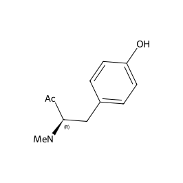 CN[C@H](Cc1ccc(O)cc1)C(C)=O